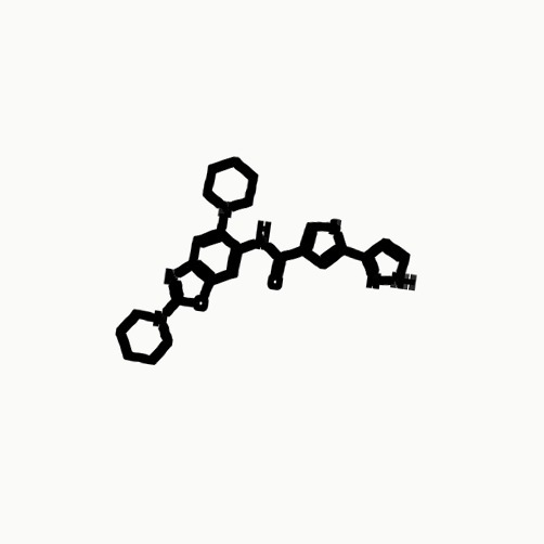 O=C(Nc1cc2oc(N3CCCCC3)nc2cc1N1CCCCC1)c1csc(-c2cc[nH]n2)c1